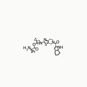 CC(C)[C@H](N)C(=O)OCC1(CNc2nc3c(s2)CN(C(=O)c2cc4ccccc4[nH]2)CC3)CC1